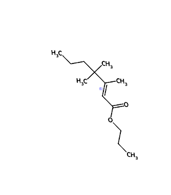 CCCOC(=O)/C=C(\C)C(C)(C)CCC